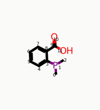 CP(C)c1ccccc1C(=O)O